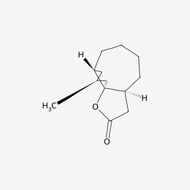 C[C@H]1C[C@H]2CCCC[C@H]3CC(=O)O[C@@]23C1